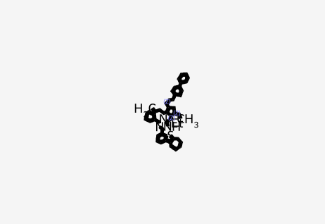 C=CCCC1=C(/C=C\Cc2ccc(-c3ccccc3)cc2)CC(=C/C)/C1=C(\CC)C1=NC(c2ccccc2)=NC(c2cccc3c4c(sc23)CC=CC=C4)N1